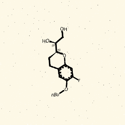 CCCCOc1cc2c(cc1F)O[C@H]([C@@H](O)CO)CC2